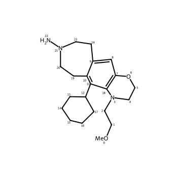 COCCN1CCOc2cc3c(c(C4CCCCC4)c21)CCN(N)CC3